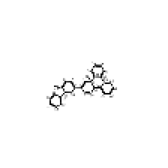 CC12C=C(c3ccc4oc5ccccc5c4c3)C=CC1c1ccccc1-c1ccccc12